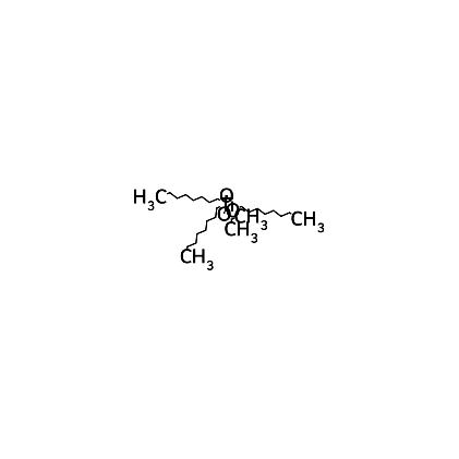 CCCCCCCC[O][Ti](=[O])([CH2]CCCCCCC)([CH2]CCCCCCC)[O]C(C)C